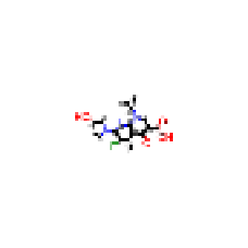 Cc1c(F)c(N2CC[C@H](O)C2)nc2c1c(=O)c(C(=O)O)cn2C1CC1